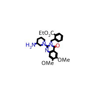 CCOC(=O)c1ccccc1Cn1c(N2CCCC(N)C2)nc2cc(OC)c(OC)cc2c1=O